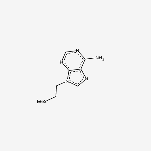 CSCCn1cnc2c(N)ncnc21